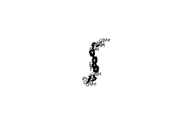 COC(=O)N[C@H](C(=O)N1CCC[C@H]1C(=O)Nc1ccc2c(c1)C(F)(F)c1cc(-c3ccc4nc([C@@H]5CCCN5C(=O)[C@@H](NC(=O)OC)C(C)C)[nH]c4c3)ccc1-2)C(C)C